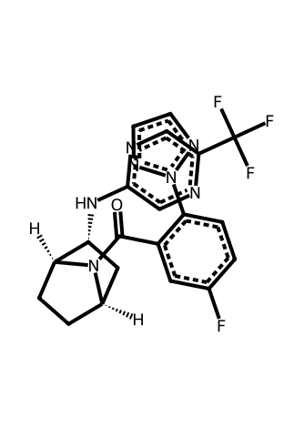 O=C(c1cc(F)ccc1-n1nccn1)N1[C@@H]2CC[C@H]1[C@H](Nc1cnc(C(F)(F)F)cn1)C2